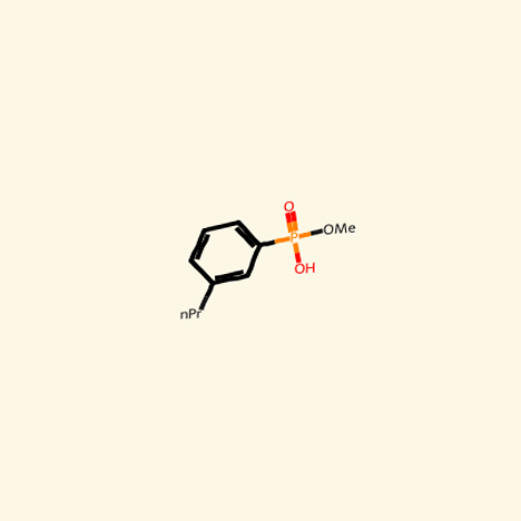 CCCc1cccc(P(=O)(O)OC)c1